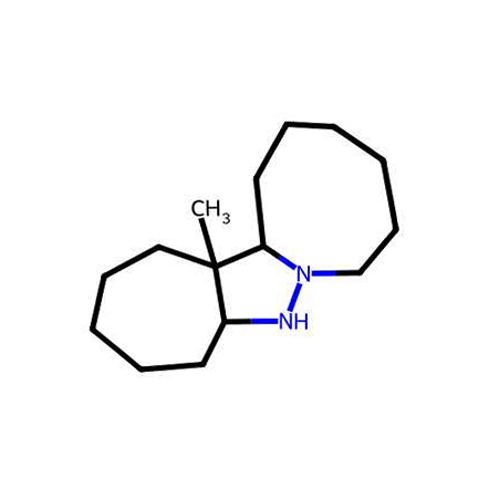 CC12CCCCCC1NN1CCCCCCC12